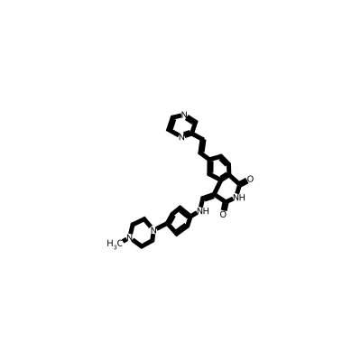 CN1CCN(c2ccc(N/C=C3\C(=O)NC(=O)c4ccc(/C=C/c5cnccn5)cc43)cc2)CC1